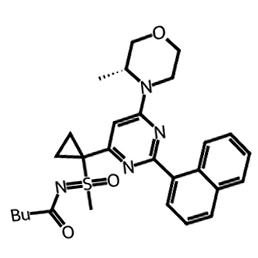 C[C@@H]1COCCN1c1cc(C2(S(C)(=O)=NC(=O)C(C)(C)C)CC2)nc(-c2cccc3ccccc23)n1